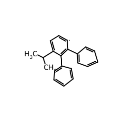 CC(C)c1cc[c]c(-c2ccccc2)c1-c1ccccc1